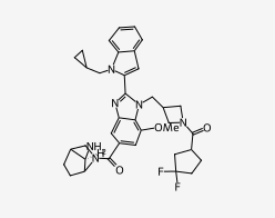 COc1cc(C(=O)N2CC3CCC2[C@@H]3N)cc2nc(-c3cc4ccccc4n3CC3CC3)n(CC3CN(C(=O)C4CCC(F)(F)C4)C3)c12